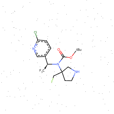 CC(C)(C)OC(=O)N([C@H](c1ccc(Cl)nc1)C(F)(F)F)C1(CF)CCNC1